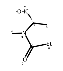 CCC(=O)N(C)[C@@H](C)[C]=O